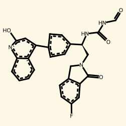 O=CNC(=O)N[C@@H](CN1Cc2ccc(F)cc2C1=O)c1ccc(-c2cc(O)nc3ccccc23)cc1